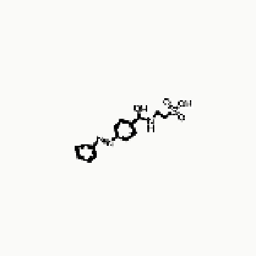 O=S(=O)(O)CCNC(O)c1ccc(/N=N/c2ccccc2)cc1